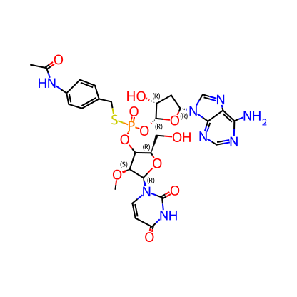 CO[C@H]1C(OP(=O)(O[C@H]2O[C@@H](n3cnc4c(N)ncnc43)C[C@H]2O)SCc2ccc(NC(C)=O)cc2)[C@@H](CO)O[C@H]1n1ccc(=O)[nH]c1=O